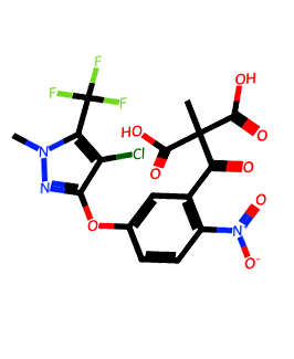 Cn1nc(Oc2ccc([N+](=O)[O-])c(C(=O)C(C)(C(=O)O)C(=O)O)c2)c(Cl)c1C(F)(F)F